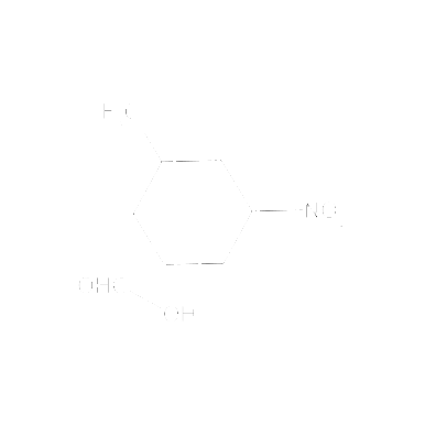 O=CO.O=[N+]([O-])C1CCCC(C(F)(F)F)C1